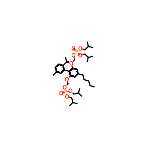 C=C(C)c1ccc(C)cc1-c1c(OCOP(=O)(OCC(C)C)OCC(C)C)cc(CCCCC)cc1OCOP(=O)(OCC(C)C)OCC(C)C